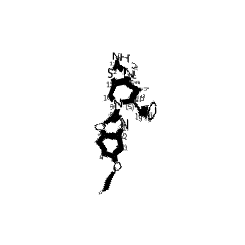 CCOc1ccc2oc(N3Cc4sc(N)nc4C[C@H]3C=O)nc2c1